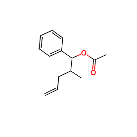 C=CCC(C)C(OC(C)=O)c1ccccc1